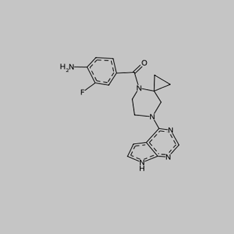 Nc1ccc(C(=O)N2CCN(c3ncnc4[nH]ccc34)CC23CC3)cc1F